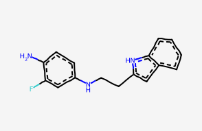 Nc1ccc(NCCc2cc3ccccc3[nH]2)cc1F